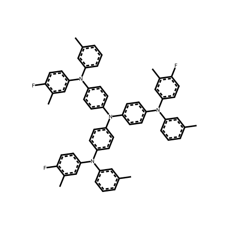 Cc1cccc(N(c2ccc(N(c3ccc(N(c4cccc(C)c4)c4ccc(F)c(C)c4)cc3)c3ccc(N(c4cccc(C)c4)c4ccc(F)c(C)c4)cc3)cc2)c2ccc(F)c(C)c2)c1